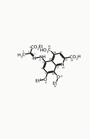 CCOC(=O)/C(C)=N\Nc1cc(OCC)c(OCC)c2nc(C(=O)O)cc(C(=O)O)c12